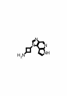 NC1CC(n2cnc3cnc4[nH]ccc4c32)C1